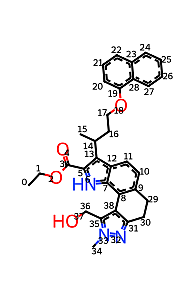 CCOC(=O)c1[nH]c2c3c(ccc2c1C(C)CCOc1cccc2ccccc12)CCc1nn(C)c(CO)c1-3